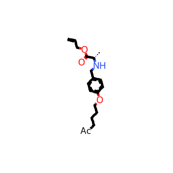 C=CCOC(=O)[C@H](C)NCc1ccc(OCCCCC(C)=O)cc1